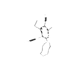 CCc1c(C#N)c(Cl)nc(N2CCCCC2)c1C#N